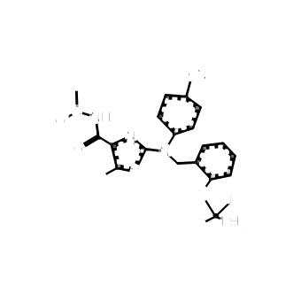 Cc1sc(N(Cc2ccccc2SC(F)(F)P)c2ccc(C#N)cc2)nc1C(=O)N[S+](C)[O-]